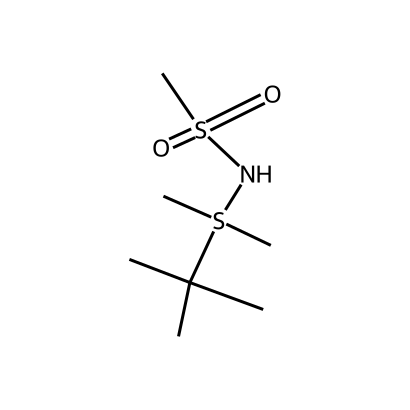 CC(C)(C)S(C)(C)NS(C)(=O)=O